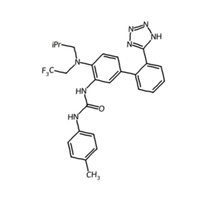 Cc1ccc(NC(=O)Nc2cc(-c3ccccc3-c3nnn[nH]3)ccc2N(CC(C)C)CC(F)(F)F)cc1